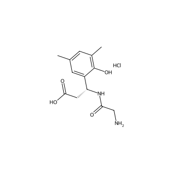 Cc1cc(C)c(O)c([C@@H](CC(=O)O)NC(=O)CN)c1.Cl